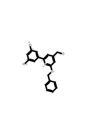 ClCc1cc(OCc2ccccc2)nc(-c2cc(Cl)cc(Cl)c2)c1